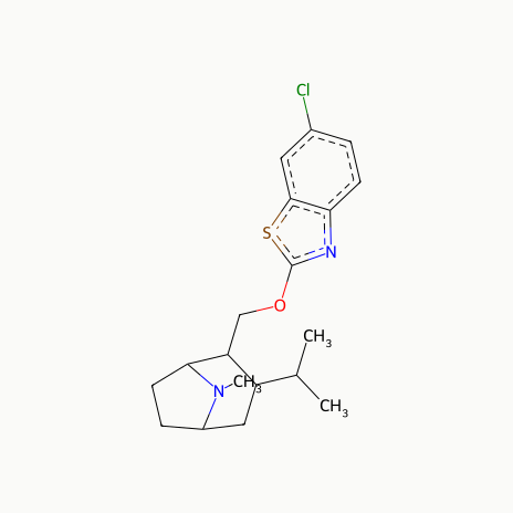 CC(C)C1CC2CCC(C1COc1nc3ccc(Cl)cc3s1)N2C